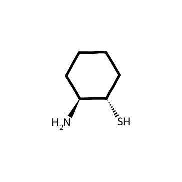 N[C@H]1CCCC[C@@H]1S